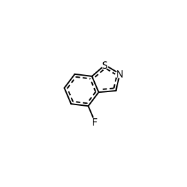 Fc1cccc2sncc12